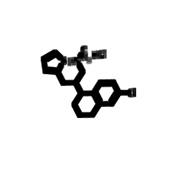 CNCC(Cc1cccs1)C1CCCc2cc(Cl)ccc21.Cl